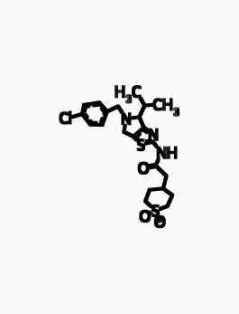 CC(C)C1c2nc(NC(=O)CC3CCS(=O)(=O)CC3)sc2CN1Cc1ccc(Cl)cc1